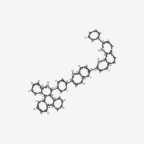 c1ccc(-c2ccc3ccc4ccc(-c5ccc6nc(-c7ccc(-c8nc9ccccc9c9c%10ccccc%10c%10ccccc%10c89)cc7)ccc6c5)nc4c3n2)cc1